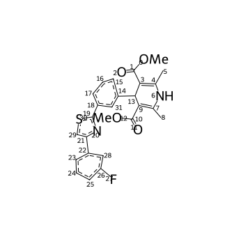 COC(=O)C1=C(C)NC(C)=C(C(=O)OC)C1c1cccc(-c2nc(-c3cccc(F)c3)cs2)c1